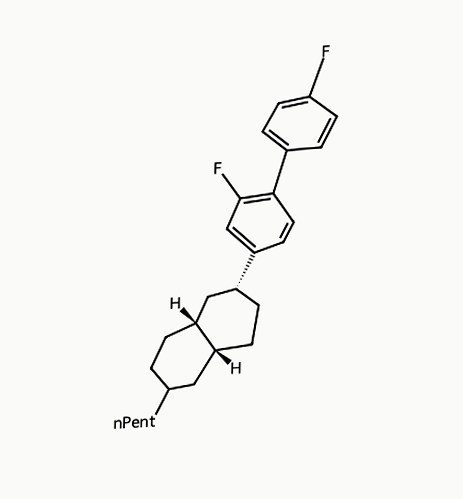 CCCCCC1CC[C@@H]2C[C@H](c3ccc(-c4ccc(F)cc4)c(F)c3)CC[C@@H]2C1